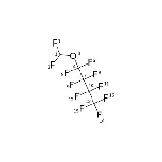 FC(F)OC(F)(F)C(F)(F)C(F)(F)C(F)(F)F